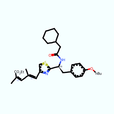 CCCCOc1ccc(C[C@H](NC(=O)CC2CCCCC2)c2nc(/C=C(C)/C=C(/C)C(=O)OCC)cs2)cc1